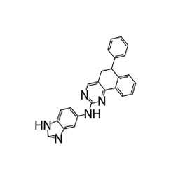 c1ccc(C2Cc3cnc(Nc4ccc5[nH]cnc5c4)nc3-c3ccccc32)cc1